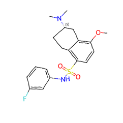 COc1ccc(S(=O)(=O)Nc2cccc(F)c2)c2c1C[C@@H](N(C)C)CC2